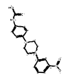 O=C(O)Nc1ccc(N2CCN(c3cccc([N+](=O)[O-])c3)CC2)cc1